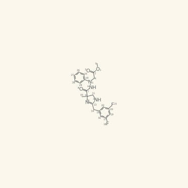 COC(=O)CN(NC(=O)C1(C)CNC(Cc2cc(F)cc(F)c2)=N1)c1ccccc1